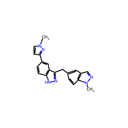 Cn1ccc(-c2ccc3[nH]nc(Cc4ccc5c(cnn5C)c4)c3c2)n1